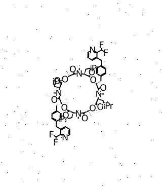 CC(C)C[C@H]1C(=O)O[C@H](Cc2ccc(Cc3cccnc3C(F)F)cc2)C(=O)N(C)[C@@H](CC(C)C)C(=O)O[C@H](C)C(=O)N(C)[C@@H](CC(C)C)C(=O)O[C@H](Cc2ccc(Cc3cccnc3C(F)F)cc2)C(=O)N(C)[C@@H](CC(C)C)C(=O)O[C@H](C)C(=O)N1C